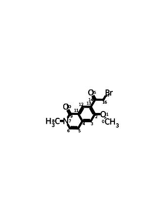 COc1cc2ccn(C)c(=O)c2cc1C(=O)CBr